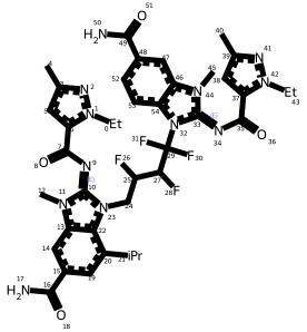 CCn1nc(C)cc1C(=O)/N=c1\n(C)c2cc(C(N)=O)cc(C(C)C)c2n1CC(F)C(F)C(F)(F)n1/c(=N/C(=O)c2cc(C)nn2CC)n(C)c2cc(C(N)=O)ccc21